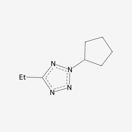 CCc1nnn(C2CCCC2)n1